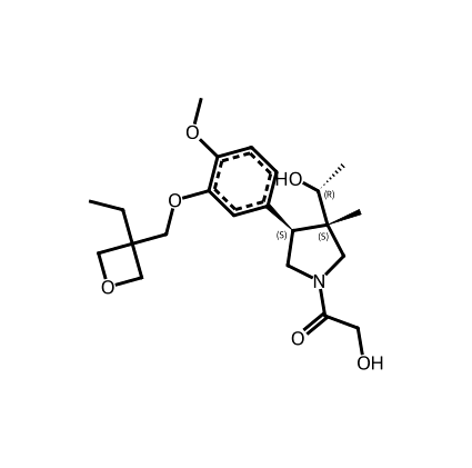 CCC1(COc2cc([C@@H]3CN(C(=O)CO)C[C@@]3(C)[C@@H](C)O)ccc2OC)COC1